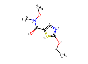 CCOc1ncc(C(=O)N(C)OC)s1